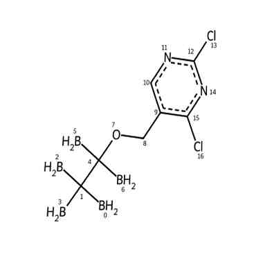 BC(B)(B)C(B)(B)OCc1cnc(Cl)nc1Cl